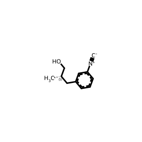 [C-]#[N+]c1cccc(C[C@H](C)CO)c1